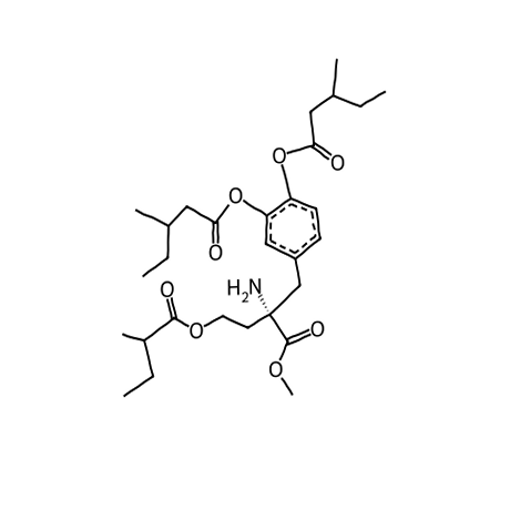 CCC(C)CC(=O)Oc1ccc(C[C@](N)(CCOC(=O)C(C)CC)C(=O)OC)cc1OC(=O)CC(C)CC